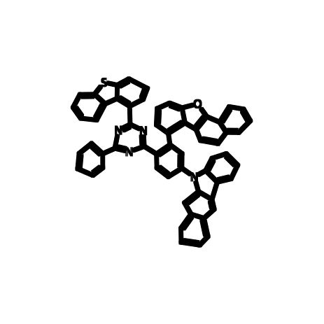 c1ccc(-c2nc(-c3ccc(-n4c5ccccc5c5cc6ccccc6cc54)cc3-c3cccc4oc5c6ccccc6ccc5c34)nc(-c3cccc4sc5ccccc5c34)n2)cc1